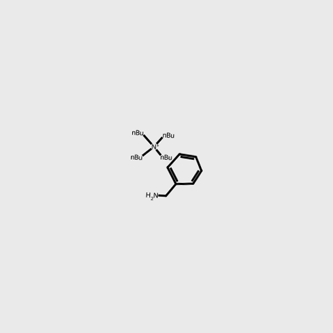 CCCC[N+](CCCC)(CCCC)CCCC.NCc1ccccc1